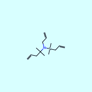 C=CCN(C(C)(C)CC=C)[Si](C)(C)CC=C